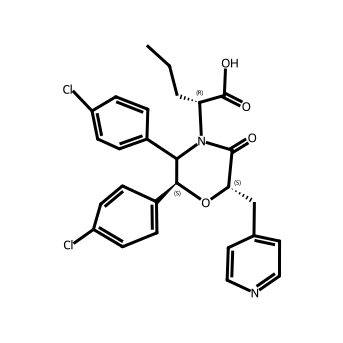 CCC[C@H](C(=O)O)N1C(=O)[C@H](Cc2ccncc2)O[C@@H](c2ccc(Cl)cc2)C1c1ccc(Cl)cc1